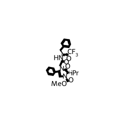 COC(=O)N1C=C(c2ccccc2)N(CC(=O)N[C@@H](Cc2ccccc2)C(=O)C(F)(F)F)C(=O)[C@@H]1C(C)C